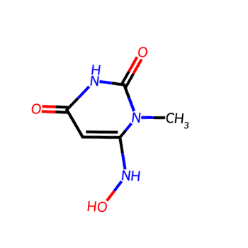 Cn1c(NO)cc(=O)[nH]c1=O